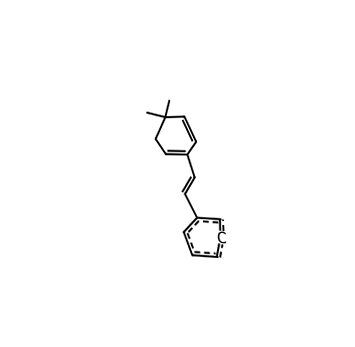 CC1(C)C=CC(C=Cc2ccccc2)=CC1